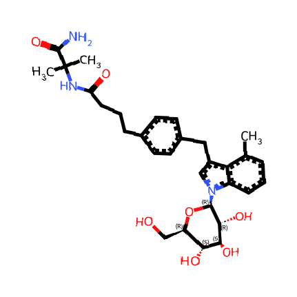 Cc1cccc2c1c(Cc1ccc(CCCC(=O)NC(C)(C)C(N)=O)cc1)cn2[C@@H]1O[C@H](CO)[C@@H](O)[C@H](O)[C@H]1O